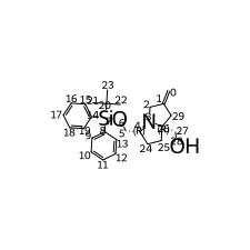 C=C1CN2[C@@H](CO[Si](c3ccccc3)(c3ccccc3)C(C)(C)C)CC[C@]2(CO)C1